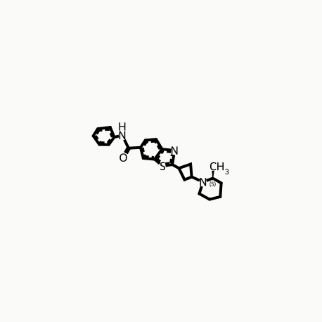 C[C@H]1CCCCN1C1CC(c2nc3ccc(C(=O)Nc4ccccc4)cc3s2)C1